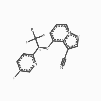 N#Cc1cnn2cccc(O[C@@H](c3ccc(F)cn3)C(F)(F)F)c12